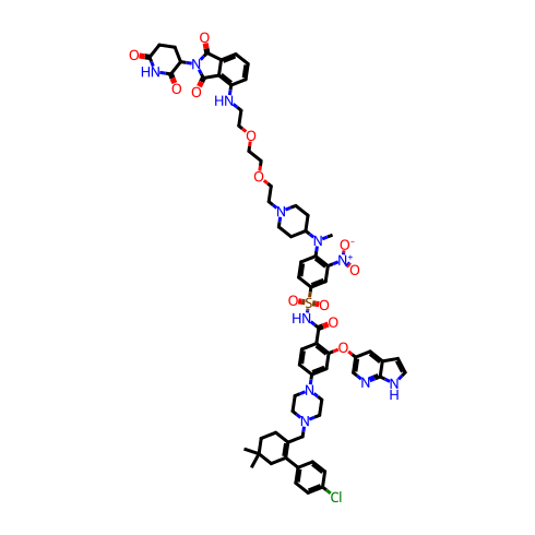 CN(c1ccc(S(=O)(=O)NC(=O)c2ccc(N3CCN(CC4=C(c5ccc(Cl)cc5)CC(C)(C)CC4)CC3)cc2Oc2cnc3[nH]ccc3c2)cc1[N+](=O)[O-])C1CCN(CCOCCOCCNc2cccc3c2C(=O)N(C2CCC(=O)NC2=O)C3=O)CC1